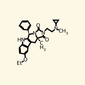 CCOc1ccc2[nH]c3c(c2c1)C[C@@]1(C)C(=O)N(CCN(C)C2CC2)C(=O)N1[C@@H]3c1ccccc1